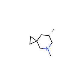 C[C@@H]1CN(C)CC2(CC2)C1